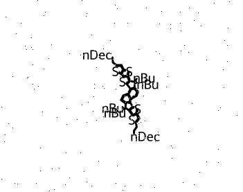 CCCCCCCCCCCCc1cc2sc3c(c2s1)C(CCCC)(CCCC)c1ccc2c4c(ccc2c1-3)C(CCCC)(CCCC)c1c-4sc2c1sc1cc(CCCCCCCCCCCC)sc12